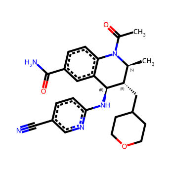 CC(=O)N1c2ccc(C(N)=O)cc2[C@H](Nc2ccc(C#N)cn2)[C@@H](CC2CCOCC2)[C@@H]1C